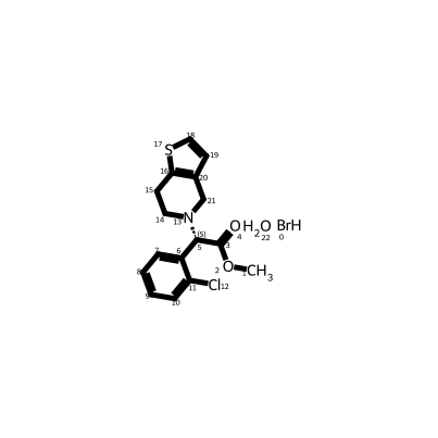 Br.COC(=O)[C@H](c1ccccc1Cl)N1CCc2sccc2C1.O